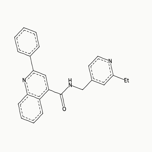 CCc1cc(CNC(=O)c2cc(-c3ccccc3)nc3ccccc23)ccn1